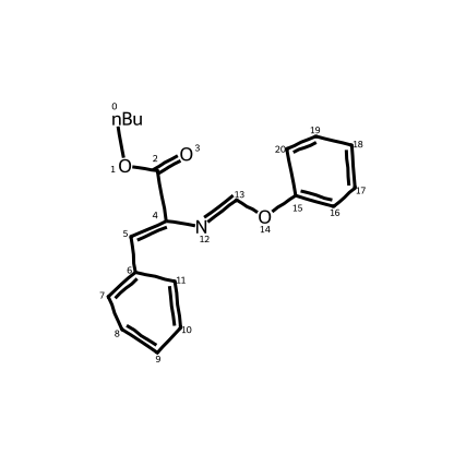 CCCCOC(=O)C(=Cc1ccccc1)N=COc1ccccc1